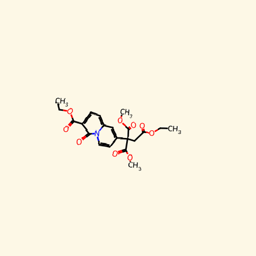 CCOC(=O)CC(C(=O)OC)(C(=O)OC)c1ccn2c(=O)c(C(=O)OCC)ccc2c1